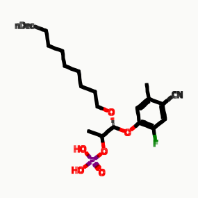 CCCCCCCCCCCCCCCCCCO[C@H](Oc1cc(C)c(C#N)cc1F)C(C)OP(=O)(O)O